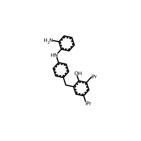 CC(C)c1cc(Cc2ccc(Nc3ccccc3N)cc2)c(O)c(C(C)C)c1